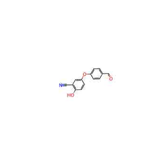 N#Cc1cc(Oc2ccc(C=O)cc2)ccc1O